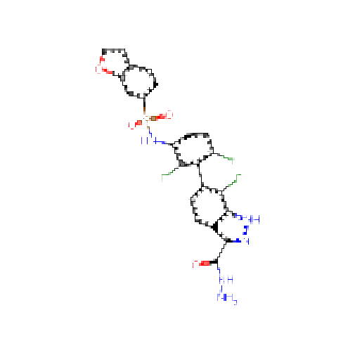 NNC(=O)c1n[nH]c2c(F)c(-c3c(F)ccc(NS(=O)(=O)c4ccc5ccoc5c4)c3F)ccc12